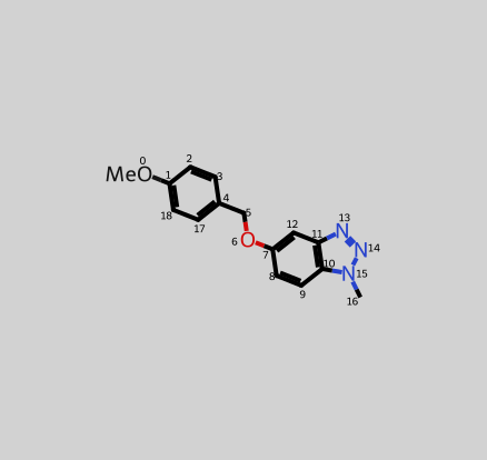 COc1ccc(COc2ccc3c(c2)nnn3C)cc1